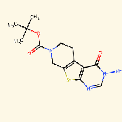 CC(C)(C)OC(=O)N1CCc2c(sc3ncn(N)c(=O)c23)C1